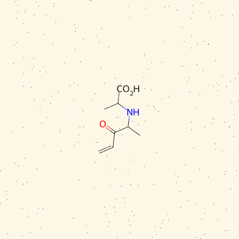 C=CC(=O)C(C)NC(C)C(=O)O